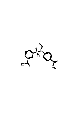 CCN(c1ccc(C(=O)OC)cc1)S(=O)(=O)c1cccc(C(=O)O)c1